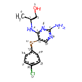 CC(CO)Nc1nc(N)ncc1Sc1ccc(Cl)cc1